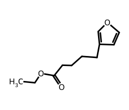 CCOC(=O)CCCCc1ccoc1